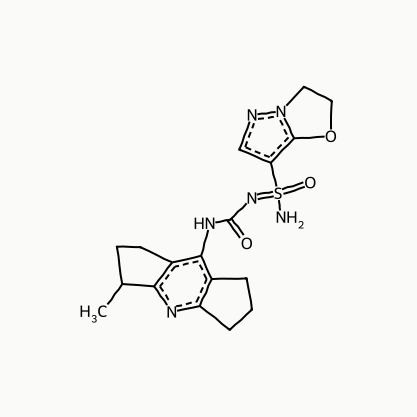 CC1CCc2c1nc1c(c2NC(=O)N=S(N)(=O)c2cnn3c2OCC3)CCC1